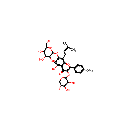 COc1ccc(-c2oc3c(CC=C(C)C)c(OC4OC(CO)C(O)C(O)C4O)cc(O)c3c(=O)c2OC2OCC(O)C(O)C2O)cc1